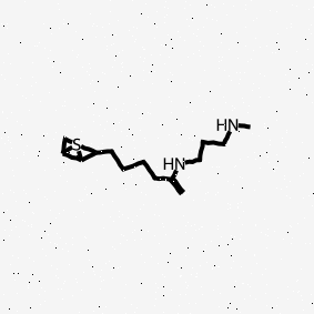 C=C(CCCCC1C2C3CS132)NCCCNC